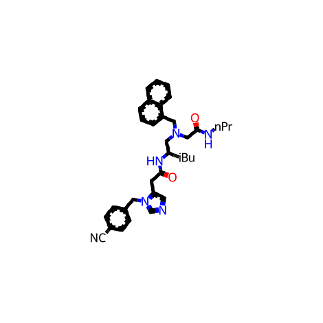 CCCNC(=O)CN(Cc1cccc2ccccc12)CC(NC(=O)Cc1cncn1Cc1ccc(C#N)cc1)C(C)CC